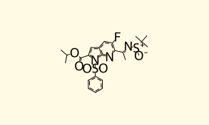 C/C(=N\[S+]([O-])C(C)(C)C)c1nc2c(cc1F)cc(C(=O)OC(C)C)n2S(=O)(=O)c1ccccc1